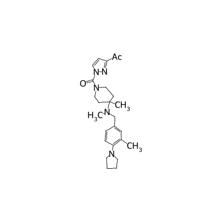 CC(=O)c1ccn(C(=O)N2CCC(C)(N(C)Cc3ccc(N4CCCC4)c(C)c3)CC2)n1